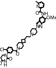 COc1cc2nn(C3CCN(CCC4CC5(CCN(C(=O)c6ccc(Cl)c(N7CCC(=O)NC7=O)c6)CC5)C4)CC3)cc2cc1NC(=O)c1cccc(C)n1